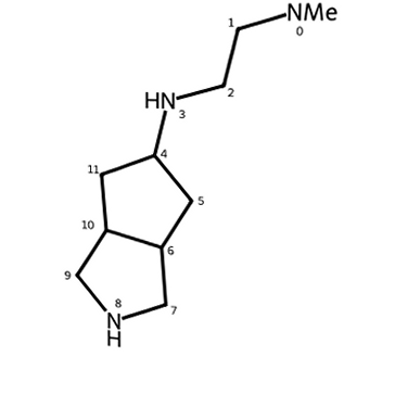 CNCCNC1CC2CNCC2C1